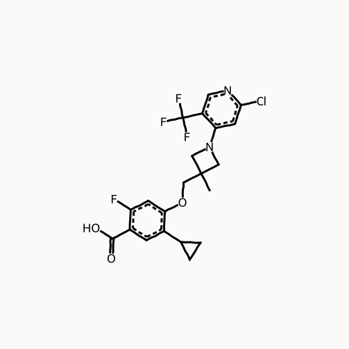 CC1(COc2cc(F)c(C(=O)O)cc2C2CC2)CN(c2cc(Cl)ncc2C(F)(F)F)C1